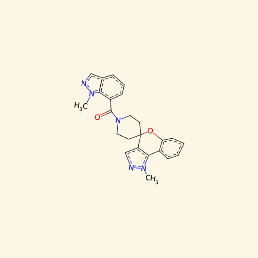 Cn1ncc2c1-c1ccccc1OC21CCN(C(=O)c2cccc3cnn(C)c23)CC1